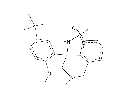 COc1ccc(C(C)(C)C)cc1C1(NS(C)(=O)=O)CN(C)Cc2ccccc21